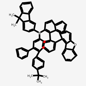 CC(C)(C)c1ccc(-c2ccc(N(c3ccc4c(c3)-c3ccccc3C4(C)C)c3ccc4ccccc4c3-c3ccccc3-c3cccc4oc5ccccc5c34)cc2-c2ccccc2)cc1